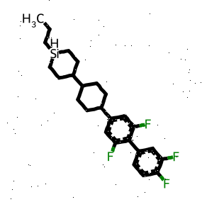 CCC[SiH]1CCC(C2CCC(c3cc(F)c(-c4ccc(F)c(F)c4)c(F)c3)CC2)CC1